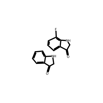 O=C1CNc2c(F)cccc21.O=C1CNc2ccccc21